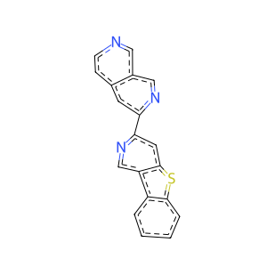 c1ccc2c(c1)sc1cc(-c3cc4ccncc4cn3)ncc12